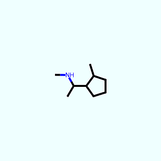 CNC(C)C1CCCC1C